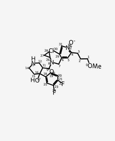 COCCCc1cc(CN(C(=O)C2CNCCC2(O)c2ccc(F)c(F)c2)C2CC2)c(Cl)c[n+]1[O-]